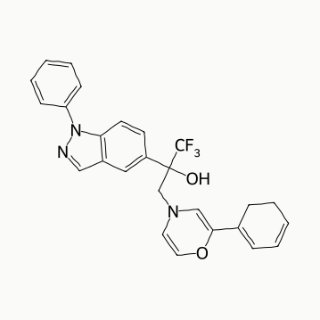 OC(CN1C=COC(C2=CC=CCC2)=C1)(c1ccc2c(cnn2-c2ccccc2)c1)C(F)(F)F